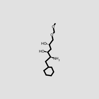 COCOC[C@@H](O)C[C@H](O)[C@@H](N)CC1CCCCC1